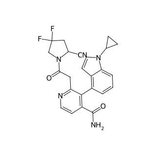 N#CC1CC(F)(F)CN1C(=O)Cc1nccc(C(N)=O)c1-c1cccc2c1ccn2C1CC1